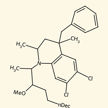 CCCCCCCCCCCCC(OC)C(C)N1c2cc(Cl)c(Cl)cc2C(C)(Cc2ccccc2)CC1C